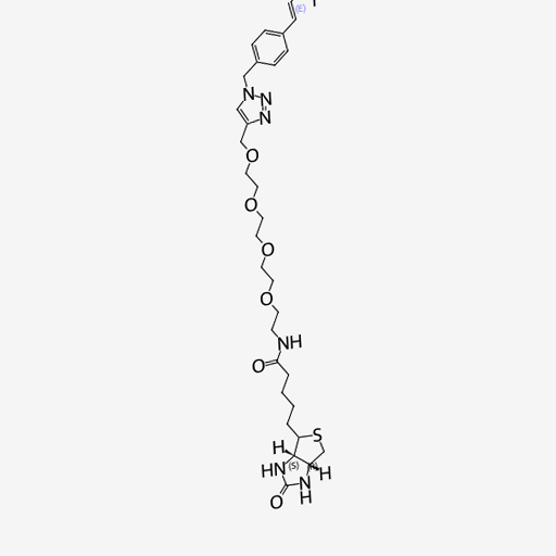 O=C(CCCCC1SC[C@@H]2NC(=O)N[C@H]12)NCCOCCOCCOCCOCc1cn(Cc2ccc(/C=C/S(=O)(=O)F)cc2)nn1